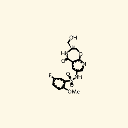 COc1ccc(F)cc1S(=O)(=O)Nc1cnc2c(c1)C(=O)N[C@@H](CO)CO2